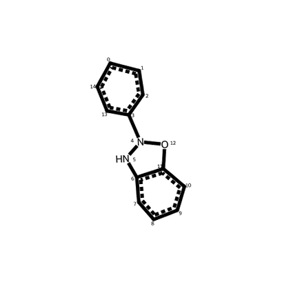 c1ccc(N2Nc3ccccc3O2)cc1